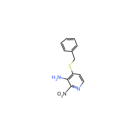 Nc1c(SCc2ccccc2)ccnc1[N+](=O)[O-]